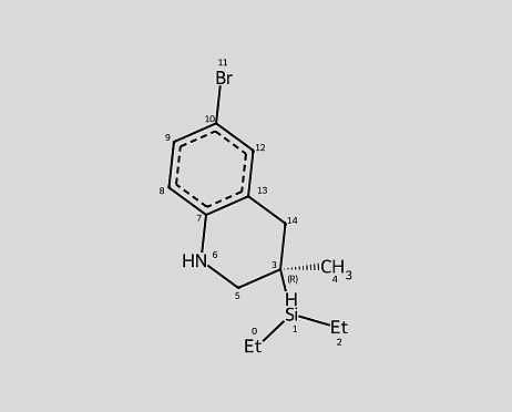 CC[SiH](CC)[C@@]1(C)CNc2ccc(Br)cc2C1